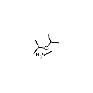 CC(C)OC(C)C.C[SiH3]